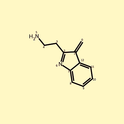 C=C1C(CCN)=Nc2ccccc21